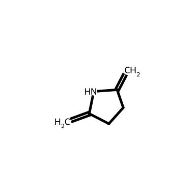 C=C1CCC(=C)N1